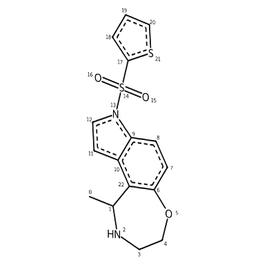 CC1NCCOc2ccc3c(ccn3S(=O)(=O)c3cccs3)c21